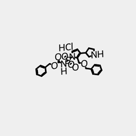 Cl.O=C(NS(=O)(=O)n1ccc(C2CCNC2)c1C(=O)OCc1ccccc1)OCc1ccccc1